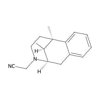 C[C@@H]1[C@H]2Cc3ccccc3[C@]1(C)CCN2CC#N